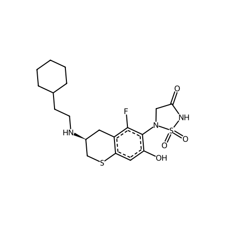 O=C1CN(c2c(O)cc3c(c2F)C[C@H](NCCC2CCCCC2)CS3)S(=O)(=O)N1